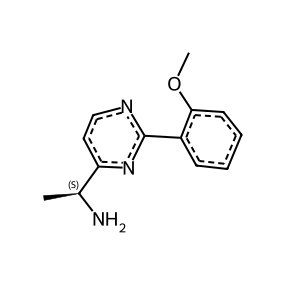 COc1ccccc1-c1nccc([C@H](C)N)n1